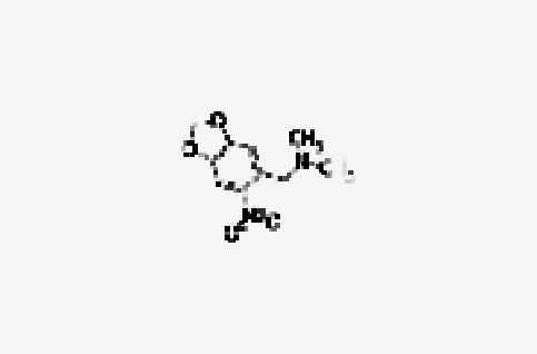 CN(C)Cc1cc2c(cc1[N+](=O)[O-])OCO2